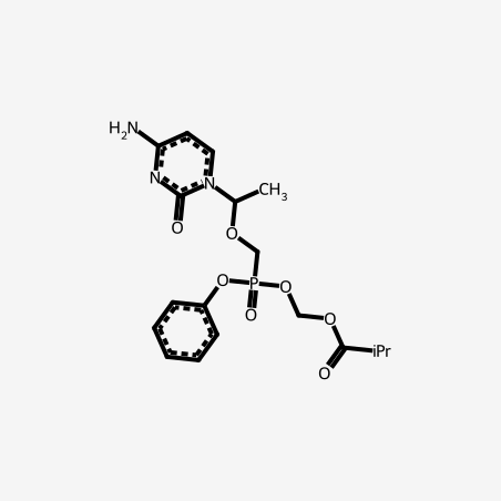 CC(C)C(=O)OCOP(=O)(COC(C)n1ccc(N)nc1=O)Oc1ccccc1